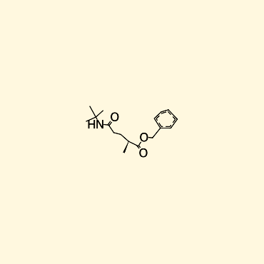 C[C@@H](CCC(=O)NC(C)(C)C)C(=O)OCc1ccccc1